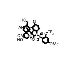 CNC(=O)[C@@H]1C[C@@H](O)C[N+]1(C)C1(c2cc(CO)ccc2OC)C(=O)N(S(=O)(=O)c2ccc(OC)cc2OC(F)(F)F)c2ccc(Cl)cc21